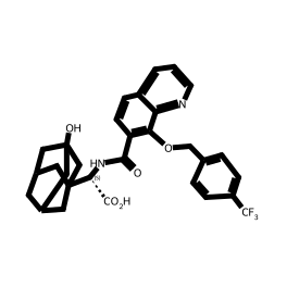 O=C(N[C@H](C(=O)O)C12CC3CC(CC(O)(C3)C1)C2)c1ccc2cccnc2c1OCc1ccc(C(F)(F)F)cc1